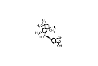 Cc1cc2c(cc1C(O)C#Cc1ccc(C(=O)O)c(O)c1)C(C)(C)CCC2(C)C